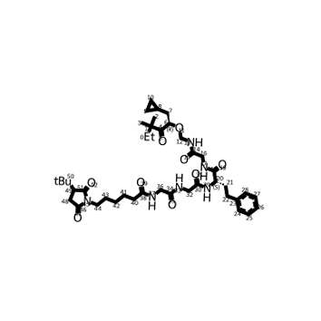 CCC(C)(C)C(=O)[C@@H](CC1CC1)OCNC(=O)CNC(=O)[C@H](CCc1ccccc1)NC(=O)CNC(=O)CNC(=O)CCCCCN1C(=O)CC(C(C)(C)C)C1=O